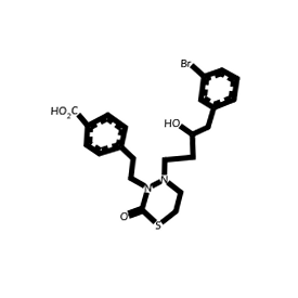 O=C(O)c1ccc(CCN2C(=O)SCCN2CCC(O)Cc2cccc(Br)c2)cc1